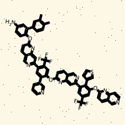 Cc1ccc(-c2cc(N)ccc2Oc2ccc3cnc(-c4cc(-c5cccnc5)c(Oc5ccc6cnc(-c7cc(C(F)(F)F)cc(Oc8ccc9cnccc9n8)c7-c7ccsc7)cc6n5)cc4C(F)(F)F)cc3n2)cc1C